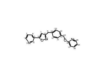 [c]1ncccc1-c1cc(Cc2ccc(COc3ccccn3)cc2)no1